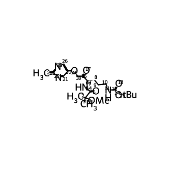 COC(C)(C)C(=O)N[C@@H](CCCNC(=O)OC(C)(C)C)C(=O)COc1cnc(C)nc1